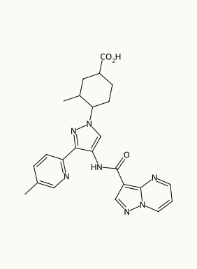 Cc1ccc(-c2nn(C3CCC(C(=O)O)CC3C)cc2NC(=O)c2cnn3cccnc23)nc1